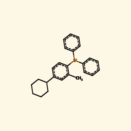 Cc1cc(C2CCCCC2)ccc1[S+](c1ccccc1)c1ccccc1